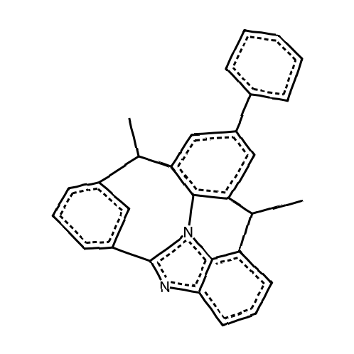 CC1c2cccc(c2)-c2nc3cccc4c3n2-c2c1cc(-c1ccccc1)cc2C4C